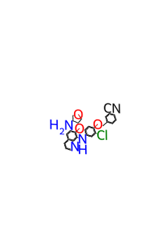 N#Cc1cccc(COc2ccc(Nc3c(OC4CCOC4)c(N)cc4cccnc34)cc2Cl)c1